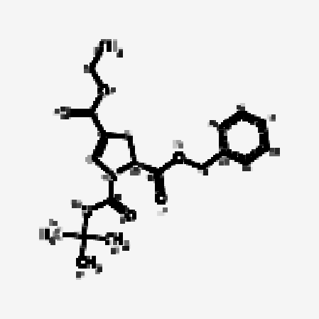 CCOC(=O)C1=CN(C(=O)OC(C)(C)C)[C@H](C(=O)OCc2ccccc2)C1